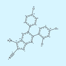 N#Cc1oc2nc(-c3ccc(Cl)cc3Cl)c(-c3ccc(Cl)cc3)cc2c1N